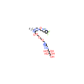 NC(CC(=O)N1CCn2c(C(F)(F)F)nc(C(=O)OCCOCCOCCn3cc(CNCC(O)C(O)C(O)C(O)CO)nn3)c2C1)Cc1cc(F)c(F)cc1F